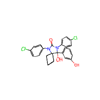 O=C1N(c2ccc(Cl)cc2)C2(CCC2)C(O)(c2cccc(O)c2)N1c1ccc(Cl)cc1